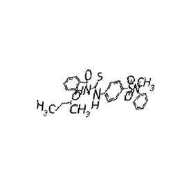 CCCC(C)Oc1ccccc1C(=O)NC(=S)Nc1ccc(S(=O)(=O)N(C)c2ccccc2)cc1